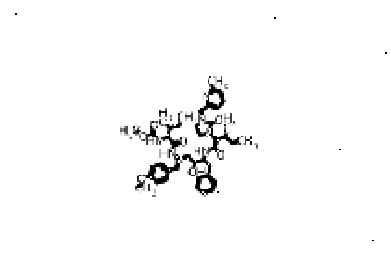 CCC(C)C(NC(=O)OC)C(=O)NN(Cc1ccc(OC)cc1)CC(O)C(Cc1ccccc1)NC(=O)C(C(C)CC)N1CCN(Cc2cccc(C)n2)C1=O